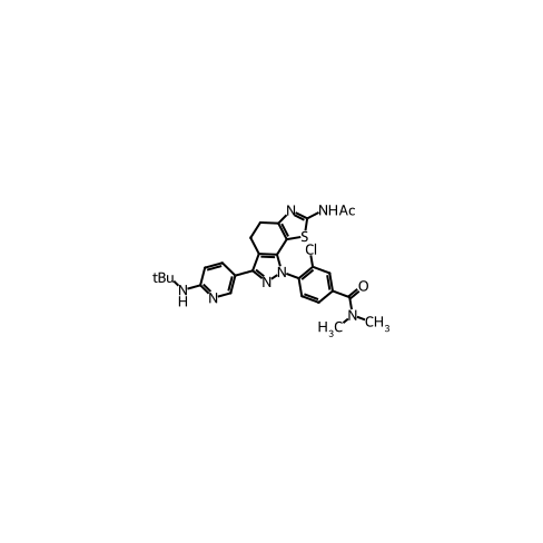 CC(=O)Nc1nc2c(s1)-c1c(c(-c3ccc(NC(C)(C)C)nc3)nn1-c1ccc(C(=O)N(C)C)cc1Cl)CC2